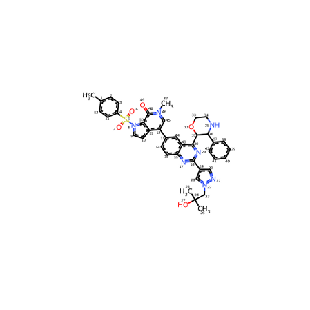 Cc1ccc(S(=O)(=O)n2ccc3c(-c4ccc5nc(-c6cnn(CC(C)(C)O)c6)nc(C6OCCNC6c6ccccc6)c5c4)cn(C)c(=O)c32)cc1